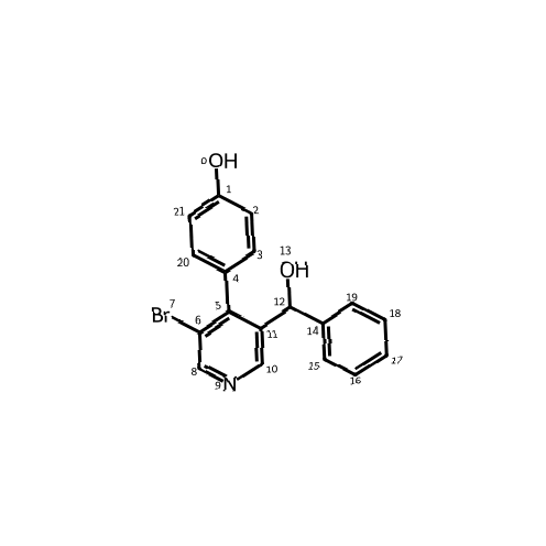 Oc1ccc(-c2c(Br)cncc2C(O)c2ccccc2)cc1